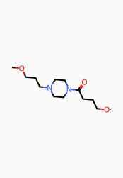 COCCCN1CCN(C(=O)CCC[O])CC1